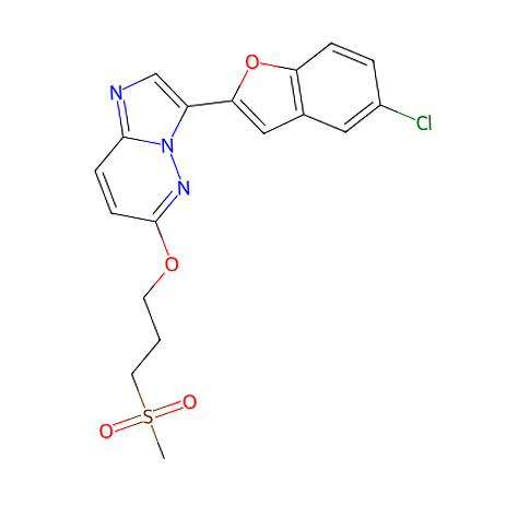 CS(=O)(=O)CCCOc1ccc2ncc(-c3cc4cc(Cl)ccc4o3)n2n1